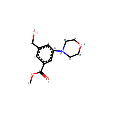 COC(=O)c1cc(CO)cc(N2CCOCC2)c1